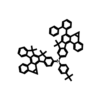 CC(C)(C)c1ccc(N(c2ccc3c(c2)C(C)(C)c2cc(-c4ccccc4-c4ccccc4)c4c(c2-3)-c2ccccc2C2CC42)c2ccc3c(c2)C(C)(C)c2c-3c3c(c4c2C(C)(C)c2ccccc2-4)-c2ccccc2C2CC32)cc1